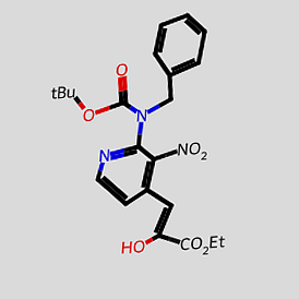 CCOC(=O)C(O)=Cc1ccnc(N(Cc2ccccc2)C(=O)OC(C)(C)C)c1[N+](=O)[O-]